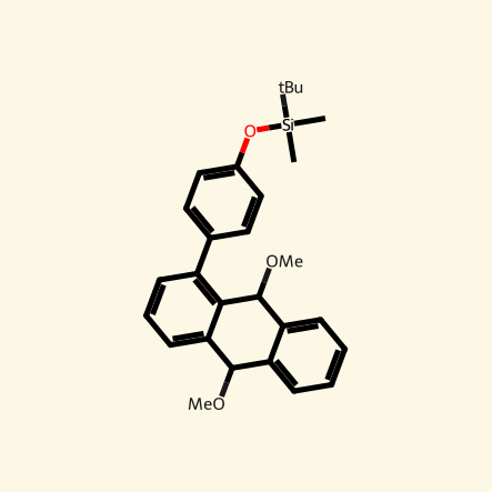 COC1c2ccccc2C(OC)c2c(-c3ccc(O[Si](C)(C)C(C)(C)C)cc3)cccc21